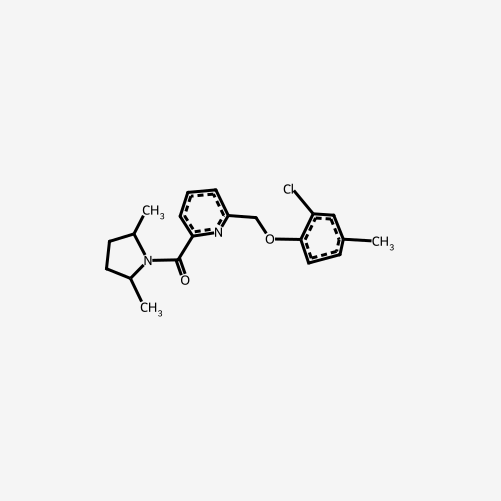 Cc1ccc(OCc2cccc(C(=O)N3C(C)CCC3C)n2)c(Cl)c1